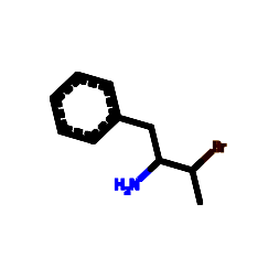 CC(Br)C(N)Cc1ccccc1